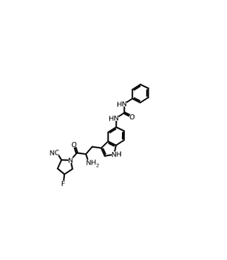 N#CC1CC(F)CN1C(=O)C(N)Cc1c[nH]c2ccc(NC(=O)Nc3ccccc3)cc12